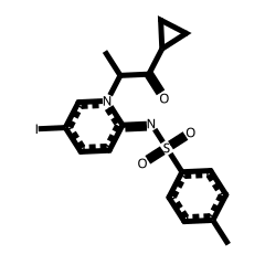 Cc1ccc(S(=O)(=O)/N=c2\ccc(I)cn2C(C)C(=O)C2CC2)cc1